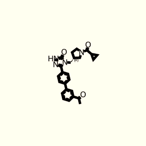 CC(=O)c1cccc(-c2ccc(-c3n[nH]c(=O)n3C[C@@H]3CCN(C(=O)C4CC4)C3)cc2)c1